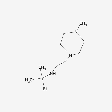 CCC(C)(C)NCCN1CCN(C)CC1